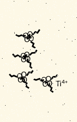 CCCCOC([O-])(OCCCC)OCCCC.CCCCOC([O-])(OCCCC)OCCCC.CCCCOC([O-])(OCCCC)OCCCC.CCCCOC([O-])(OCCCC)OCCCC.[Ti+4]